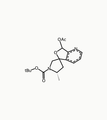 CC(=O)OC1OC2(C[C@H](C)N(C(=O)OC(C)(C)C)C2)c2cccnc21